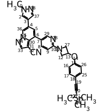 Cn1cc(-c2cc(-c3ccc(N4CC(Oc5ccc(C#C[Si](C)(C)C)cc5)C4)nc3)c3c(C#N)cnn3c2)cn1